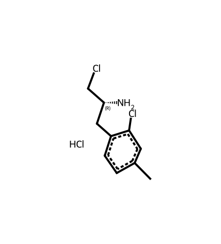 Cc1ccc(C[C@@H](N)CCl)c(Cl)c1.Cl